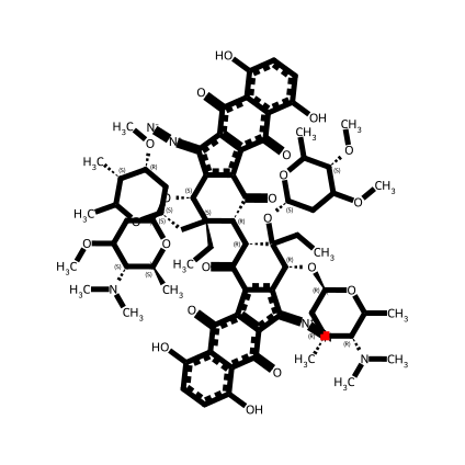 CCC1(O[C@H]2CC(OC)[C@@H](OC)C(C)O2)[C@H](O[C@@H]2C[C@@H](C)[C@@H](N(C)C)C(C)O2)c2c(c3c(=O)c4c(O)ccc(O)c4c(=O)c=3c2=[N+]=[N-])C(=O)[C@@H]1[C@H]1C(=O)c2c(c(=[N+]=[N-])c3c(=O)c4c(O)ccc(O)c4c(=O)c2=3)[C@@H](O[C@@H]2CC(OC)[C@@H](N(C)C)[C@H](C)O2)[C@@]1(CC)C[C@H]1C[C@@H](OC)[C@@H](C)C(C)O1